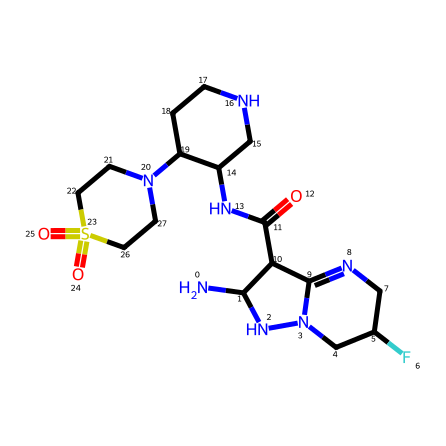 NC1NN2CC(F)CN=C2C1C(=O)NC1CNCCC1N1CCS(=O)(=O)CC1